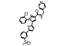 CN(Cc1ccncc1)C(=O)c1cc(-c2ccc(-c3cccc([S+](C)[O-])c3)s2)n(-c2ccccc2Cl)n1